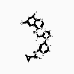 C[C@H](Nc1ncnc2c(I)cc(Cl)cc12)c1ncnn1-c1cc(NC(=O)C2CC2)ncn1